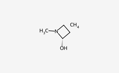 C.CN1CC[C@@H]1O